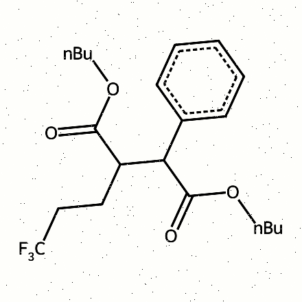 CCCCOC(=O)C(CCC(F)(F)F)C(C(=O)OCCCC)c1ccccc1